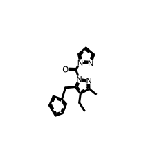 CCc1c(C)nn(C(=O)n2cccn2)c1Cc1ccccc1